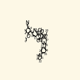 CCOc1ccc(C#N)cc1-c1ccc(N2C(=O)N(CC)C3(CCN(Cc4ccc(N5CCCC5)cc4)CC3)C2=O)c(Cl)n1